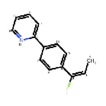 [CH2]/C=C(/F)c1ccc(-c2ccccn2)cc1